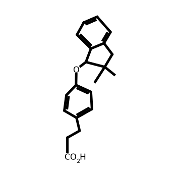 CC1(C)Cc2ccccc2C1Oc1ccc(CCC(=O)O)cc1